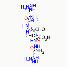 N=C(N)NCCCC(N)C(=O)NCCNC(=O)CN(CC=O)CCN(CC=O)CCN(CC(=O)O)CC(=O)NCCNC(=O)C(N)CCCNC(=N)N